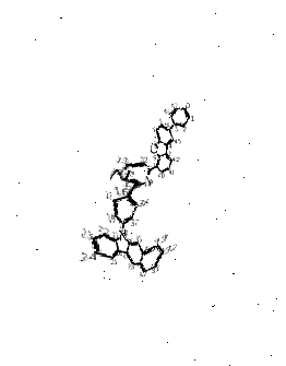 c1ccc(-c2ccc3oc4c(-c5ccnc(-c6ccc(-n7c8ccccc8c8cc9ccccc9cc87)cc6)n5)cccc4c3c2)cc1